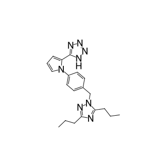 CCCc1nc(CCC)n(Cc2ccc(-n3cccc3-c3nnn[nH]3)cc2)n1